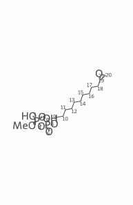 COP(=O)(O)OP(=O)(O)OCCCCCCCCCCC1CO1